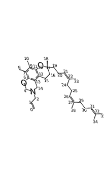 C=CCN1COc2c(C)c(C)c3c(c2C1)CC[C@@](C)(CCC=C(C)CCC=C(C)CCC=C(C)C)O3